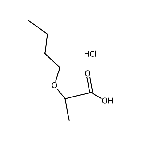 CCCCOC(C)C(=O)O.Cl